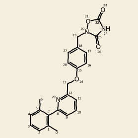 Cc1cccc(C)c1-c1cccc(COc2ccc(Cn3oc(=O)[nH]c3=O)cc2)n1